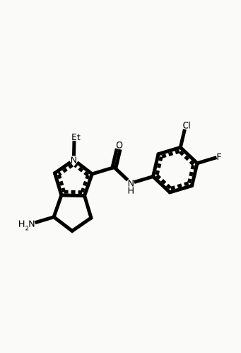 CCn1cc2c(c1C(=O)Nc1ccc(F)c(Cl)c1)CCC2N